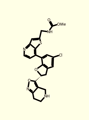 COC(=O)NCc1cc2nccc(-c3cc(Cl)cc4c3O[C@@H](c3onc5c3CNCC5)C4)c2s1